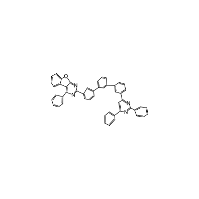 c1ccc(-c2cc(-c3cccc(-c4cccc(-c5cccc(-c6nc(-c7ccccc7)c7c(n6)oc6ccccc67)c5)c4)c3)nc(-c3ccccc3)n2)cc1